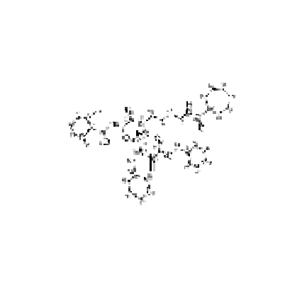 Cc1cccc(C)c1C(=O)OCC(=O)[C@@H](CCCCNC(=O)C1CCCCCC1)NC(=O)[C@@H](Cc1ccccc1)NC(=O)OCc1ccccc1